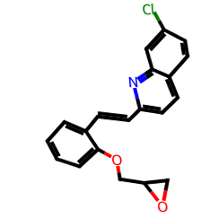 Clc1ccc2ccc(C=Cc3ccccc3OCC3CO3)nc2c1